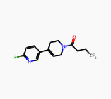 O=C(CCC(F)(F)F)N1CC=C(c2ccc(F)nc2)CC1